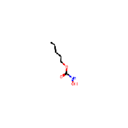 CCCCCOC(=O)NO